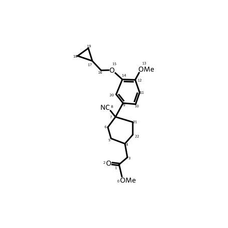 COC(=O)CC1CCC(C#N)(c2ccc(OC)c(OCC3CC3)c2)CC1